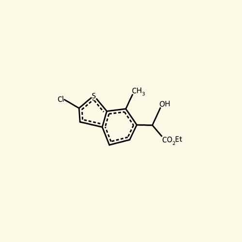 CCOC(=O)C(O)c1ccc2cc(Cl)sc2c1C